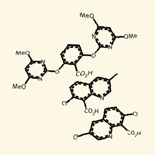 COc1cc(OC)nc(Oc2cccc(Oc3nc(OC)cc(OC)n3)c2C(=O)O)n1.Cc1cnc2c(C(=O)O)c(Cl)ccc2c1.O=C(O)c1c(Cl)ccc2cc(Cl)cnc12